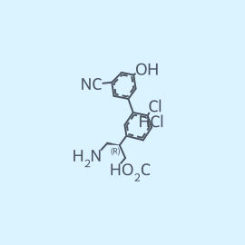 Cl.N#Cc1cc(O)cc(-c2cc([C@H](CN)CC(=O)O)ccc2Cl)c1